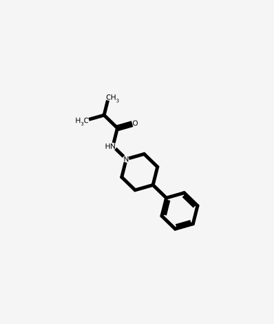 CC(C)C(=O)NN1CCC(c2ccccc2)CC1